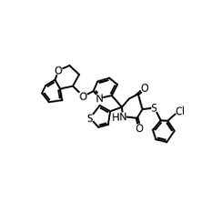 O=C1CC(c2ccsc2)(c2cccc(OC3CCOc4ccccc43)n2)NC(=O)C1Sc1ccccc1Cl